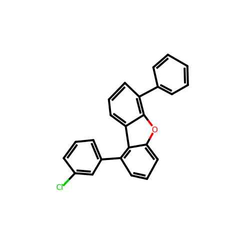 Clc1cccc(-c2cccc3oc4c(-c5ccccc5)cccc4c23)c1